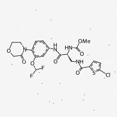 COC(=O)N[C@@H](CNC(=O)c1ccc(Cl)s1)C(=O)Nc1ccc(N2CCOCC2=O)c(OC(F)F)c1